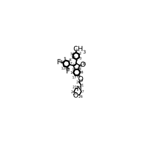 Cc1ccc(C2=C(c3ccc(F)cc3F)c3ccc(OCCN4CCOCC4)cc3C2=O)cc1